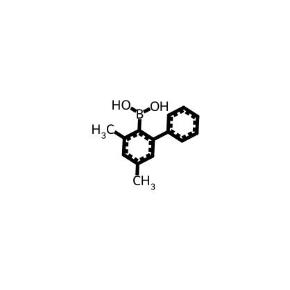 Cc1cc(C)c(B(O)O)c(-c2ccccc2)c1